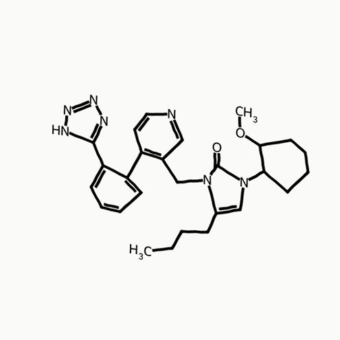 CCCCc1cn(C2CCCCC2OC)c(=O)n1Cc1cnccc1-c1ccccc1-c1nnn[nH]1